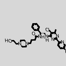 Cc1nc(-c2ccc(Br)cn2)nc(NC[C@H](NC(=O)CCCN2CCN(CCO)CC2)c2ccccc2)c1Cl